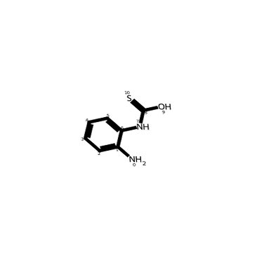 Nc1ccccc1NC(O)=S